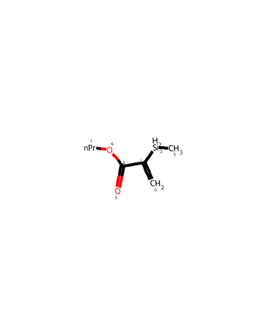 C=C([SiH2]C)C(=O)OCCC